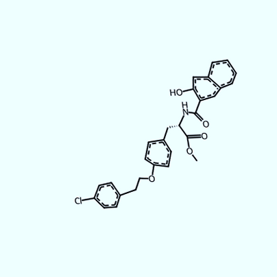 COC(=O)[C@H](Cc1ccc(OCCc2ccc(Cl)cc2)cc1)NC(=O)c1cc2ccccc2cc1O